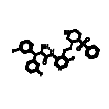 N[C@H](C(=O)Nc1cncc(F)c1CC[C@H]1CNCCN1S(=O)(=O)c1ccccc1)C(c1cccc(F)c1)c1cccc(F)c1